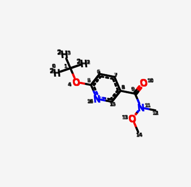 [2H]C([2H])([2H])Oc1ccc(C(=O)N(C)OC)cn1